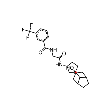 O=C(CNC(=O)c1cccc(C(F)(F)F)c1)N[C@@H]1CCN(C2C3CCC2CC(O)C3)C1